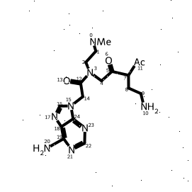 CNCCN(CC(=O)C(CCN)C(C)=O)C(=O)Cn1cnc2c(N)ncnc21